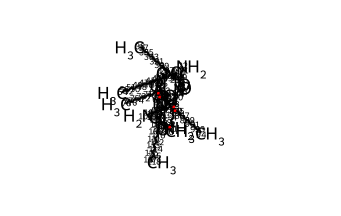 CCCCCCCCCCCCN(C=O)CC(=O)N(CCCN)CC(=O)N(CCCCCCCCCCCC)CC(=O)N(CCCCCCCCCCCC)CC(=O)N(CCCN)CC(=O)N(CCCCCCCCCCCC)CC(=O)N(CCCCCCCCCCCC)CC(=O)N(CCCN)CC(=O)N(CCCCCCCCCCCC)CC(N)=O